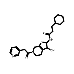 N#CC1C2=C(CN(C(=O)Cc3cccnc3)CC2)SC1NC(=O)CCC1CCCCC1